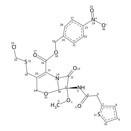 CO[C@@]1(NC(=O)Cc2cccs2)C(=O)N2C(C(=O)OCc3ccc([N+](=O)[O-])cc3)=C(CSCCl)COC21